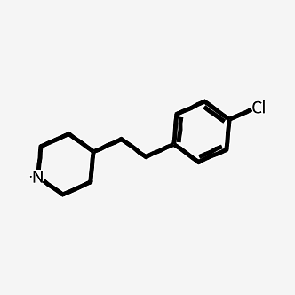 Clc1ccc(CCC2CC[N]CC2)cc1